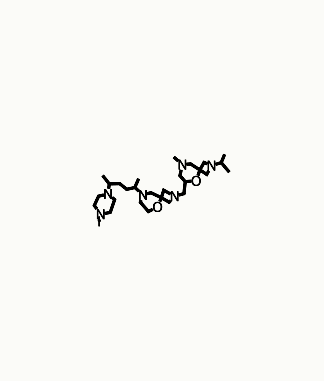 CC(C)N1CC2(CN(C)CC(CN3CC4(C3)CN(C(C)CCC(C)N3CCN(I)CC3)CCO4)O2)C1